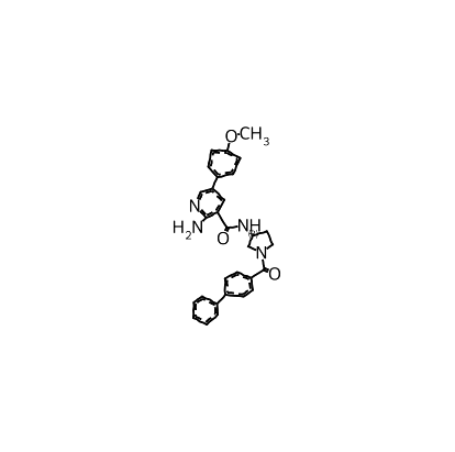 COc1ccc(-c2cnc(N)c(C(=O)N[C@@H]3CCN(C(=O)c4ccc(-c5ccccc5)cc4)C3)c2)cc1